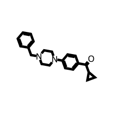 O=C(c1ccc(N2CCN(Cc3ccccc3)CC2)cc1)C1CC1